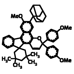 COc1ccc(C2(c3ccc(OC)cc3)C=Cc3c4c(c5cc(OC)c(C67CC8CC(CC(C8)C6)C7)cc5c3O2)-c2ccccc2C42CC(C)(C)CC(C)(C)C2)cc1